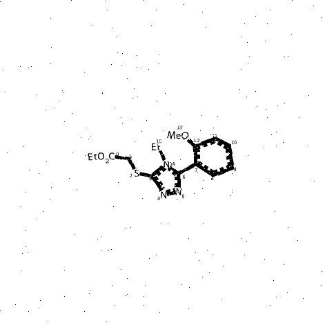 CCOC(=O)CSc1nnc(-c2ccccc2OC)n1CC